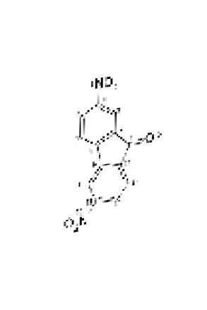 O=C1c2cc([N+](=O)[O-])ccc2-c2cc([N+](=O)[O-])ccc21